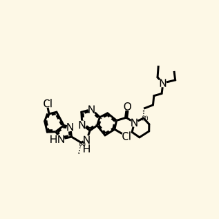 CCN(CC)CCCC[C@@H]1CCCCN1C(=O)c1cc2ncnc(N[C@H](C)c3nc4cc(Cl)ccc4[nH]3)c2cc1Cl